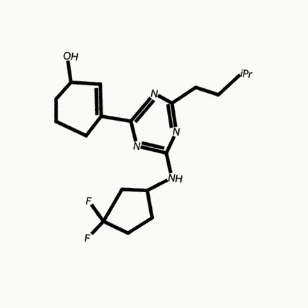 CC(C)CCc1nc(NC2CCC(F)(F)C2)nc(C2=CC(O)CCC2)n1